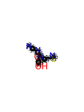 CN(C)c1ccc(-c2ccc(CN(C(=O)C3CCC(O)CC3)c3cccc(/C=C/c4nccs4)c3)cn2)cc1